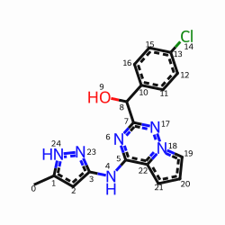 Cc1cc(Nc2nc(C(O)c3ccc(Cl)cc3)nn3cccc23)n[nH]1